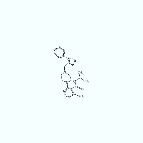 Cc1ccnc(N2CCN(Cc3cccn3-c3cccnc3)CC2)c1C(=O)OC(C)C